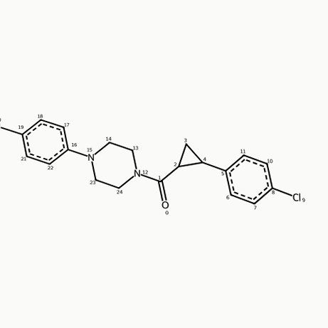 O=C(C1CC1c1ccc(Cl)cc1)N1CCN(c2ccc(Cl)cc2)CC1